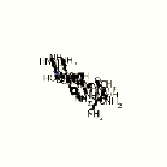 C[C@H](NC(=O)[C@@H](NC(=O)C(N)CCCCN)[C@@H](O)CN)C(=O)NCC(=O)N[C@H](CCCN)C(=O)N1CCC[C@H]1C(=O)N[C@@H](Cc1ccc(C(N)=O)cc1)C(=O)N[C@@H](CCCCN)C(=O)N/C(=C\CCNC(=N)N)C(=O)O